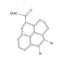 O=CC(=O)c1cc2cccc3c(Br)c(Br)c4cccc1c4c23